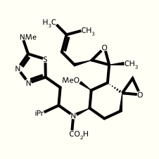 CNc1nnc(CC(C(C)C)N(C(=O)O)[C@@H]2CC[C@]3(CO3)[C@@H]([C@@]3(C)O[C@@H]3CC=C(C)C)[C@@H]2OC)s1